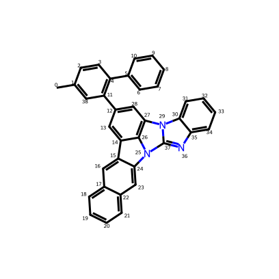 Cc1ccc(-c2ccccc2)c(-c2cc3c4cc5ccccc5cc4n4c3c(c2)n2c3ccccc3nc24)c1